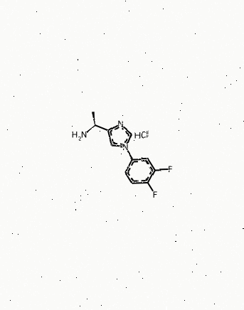 C[C@H](N)c1cn(-c2ccc(F)c(F)c2)cn1.Cl